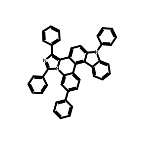 c1ccc(-c2ccc3c4c(ccc5c4c4ccccc4n5-c4ccccc4)c4c(-c5ccccc5)nc(-c5ccccc5)n4c3c2)cc1